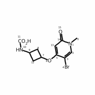 Cn1cc(Br)c(OC2CC(NC(=O)O)C2)cc1=O